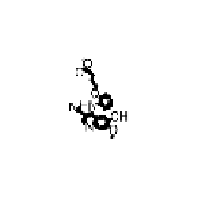 COC(=O)CCCOc1ccccc1Nc1c(C#N)cnc2cc(OC)c(O)cc12